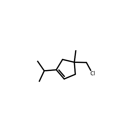 CC(C)C1=CCC(C)(CCl)C1